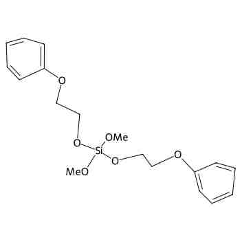 CO[Si](OC)(OCCOc1ccccc1)OCCOc1ccccc1